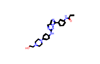 C=CC(=O)Nc1cccc(-c2ncc3cnc(Nc4ccc(N5CCN(CCO)CC5)cc4)nn23)c1